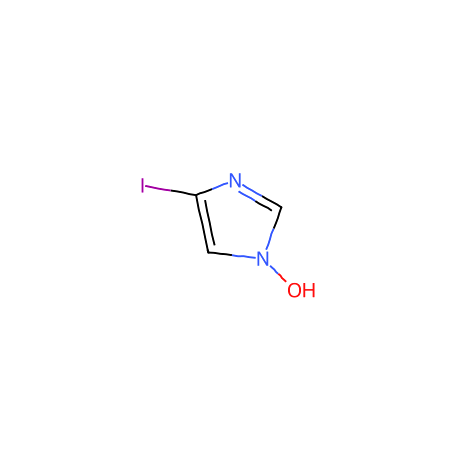 On1cnc(I)c1